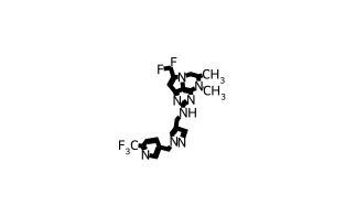 CC1Cn2c(C(F)F)cc3nc(NCc4cnn(Cc5ccc(C(F)(F)F)nc5)c4)nc(c32)N1C